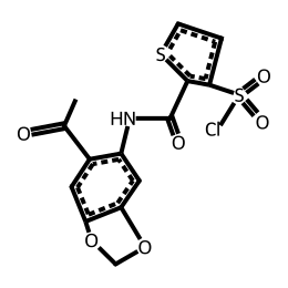 CC(=O)c1cc2c(cc1NC(=O)c1sccc1S(=O)(=O)Cl)OCO2